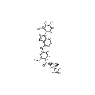 CCc1cc(Nc2nccn3c(-c4ccc(C)c(F)c4F)cnc23)ccc1C(=O)NCC1(O)CNC1